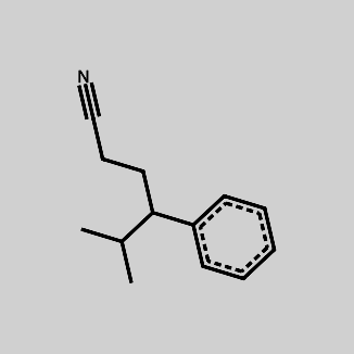 CC(C)C(CCC#N)c1ccccc1